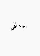 CN(C)Cc1cc(CSCCNC(=N)C(=N)N)cs1.Cl.Cl.Cl